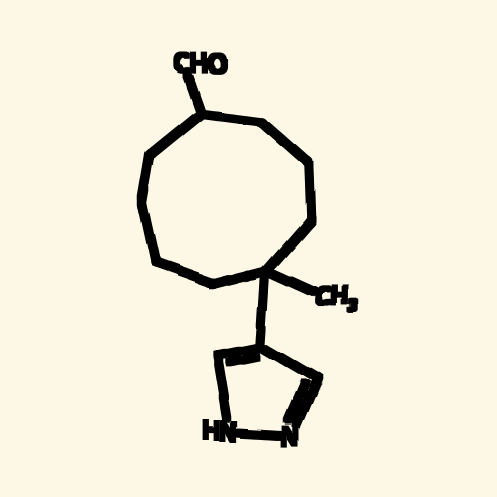 CC1(c2cn[nH]c2)CCCCC(C=O)CCC1